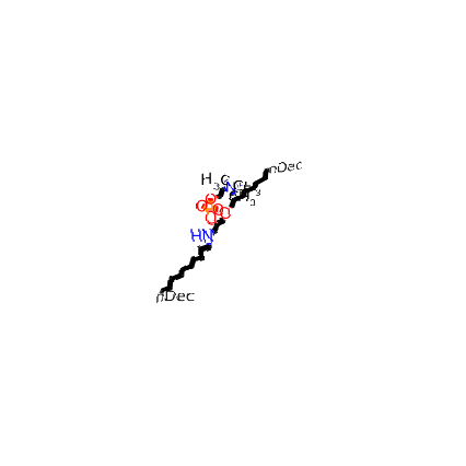 CCCCCCCCCCCCCCCCCCCCNCC(COCCCCCCCCCCCCCCCCCC)OP(=O)([O-])OCC[N+](C)(C)C